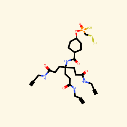 C#CCNC(=O)CCC(CCC(=O)NCC#C)(CCC(=O)NCC#C)NC(=O)[C@H]1CC[C@@H](OP(=O)(S)CSS)CC1